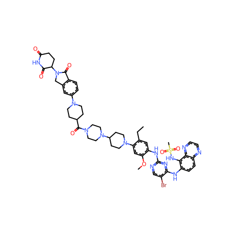 CCc1cc(Nc2ncc(Br)c(Nc3ccc4nccnc4c3NS(C)(=O)=O)n2)c(OC)cc1N1CCC(N2CCN(C(=O)C3CCN(c4ccc5c(c4)CN(C4CCC(=O)NC4=O)C5=O)CC3)CC2)CC1